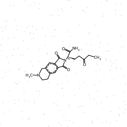 CCC(=O)CC[C@H](C(N)=O)N1C(=O)c2cc3c(cc2C1=O)CN(C)CC3